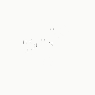 CN(C)C(=O)C(Cc1ccccc1)CN1CCC2(CC1)OCc1ccccc12